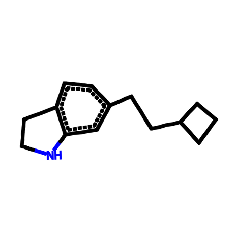 c1cc2c(cc1CCC1CCC1)NCC2